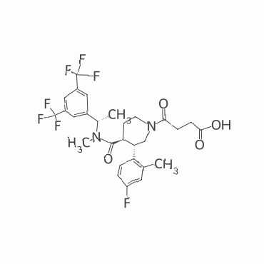 Cc1cc(F)ccc1[C@H]1CN(C(=O)CCC(=O)O)CC[C@@H]1C(=O)N(C)[C@@H](C)c1cc(C(F)(F)F)cc(C(F)(F)F)c1